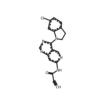 C#CC(=O)Nc1cc2ncnc(N3CCc4ccc(Cl)cc43)c2cn1